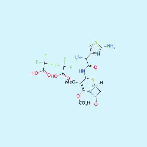 COC1=C(OC(=O)O)N2C(=O)C[C@@H]2SC1NC(=O)C(N)c1csc(N)n1.O=C(O)C(F)(F)F.O=C(O)C(F)(F)F